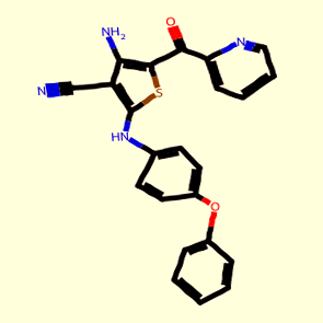 N#Cc1c(Nc2ccc(Oc3ccccc3)cc2)sc(C(=O)c2ccccn2)c1N